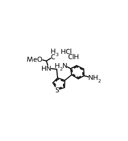 COC(C)NCc1cscc1-c1cc(N)ccc1N.Cl.Cl